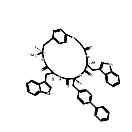 O=C1COc2ccc(cc2)C[C@H](C(=O)O)NC(=O)[C@H](Cc2c[nH]c3ccccc23)NC(=O)[C@@H](Cc2ccc(-c3ccccc3)cc2)NC(=O)[C@H](Cc2c[nH]c3ccccc23)N1